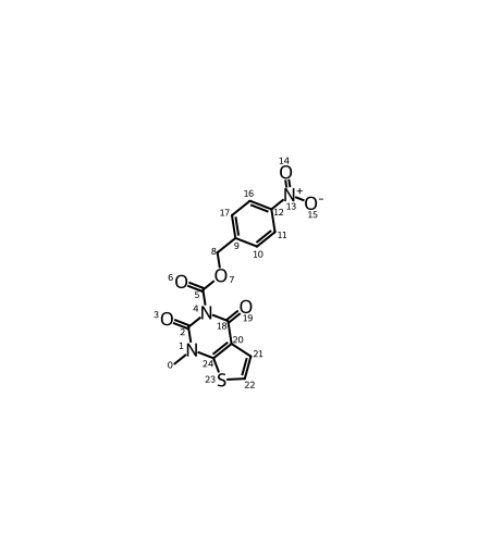 Cn1c(=O)n(C(=O)OCc2ccc([N+](=O)[O-])cc2)c(=O)c2ccsc21